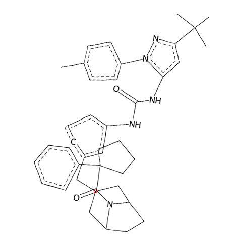 Cc1ccc(-n2nc(C(C)(C)C)cc2NC(=O)Nc2cccc(CC3CC4CCC(C3)N4C(=O)C3(c4ccccc4)CCCC3)c2)cc1